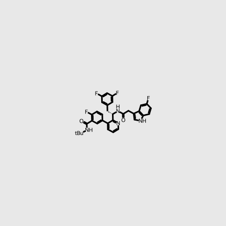 CC(C)(C)NC(=O)c1cc(-c2cccnc2[C@H](Cc2cc(F)cc(F)c2)NC(=O)Cc2c[nH]c3ccc(F)cc23)ccc1F